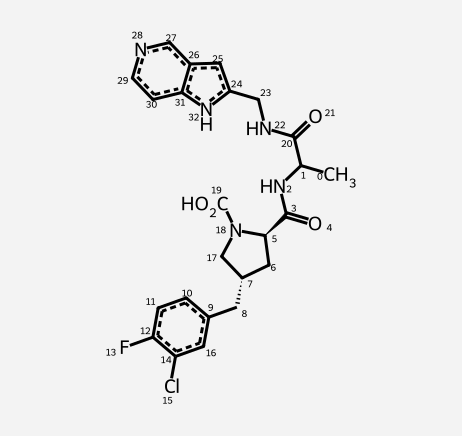 CC(NC(=O)[C@H]1C[C@H](Cc2ccc(F)c(Cl)c2)CN1C(=O)O)C(=O)NCc1cc2cnccc2[nH]1